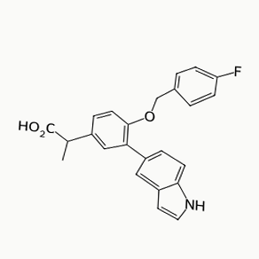 CC(C(=O)O)c1ccc(OCc2ccc(F)cc2)c(-c2ccc3[nH]ccc3c2)c1